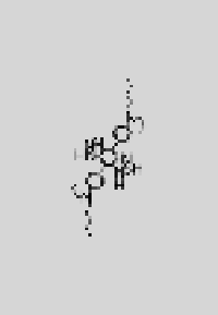 CCCCCN1CCCc2cc(-c3c4c(c(-c5ccc6c(c5)CCCN6CCCCC)c5[nH]nnc35)N[SH]=N4)ccc21